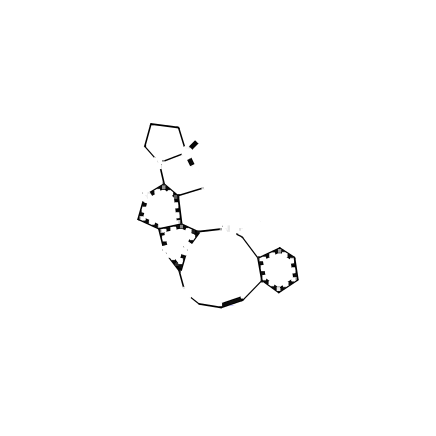 C[C@H]1Nc2nc(nc3cnc(N4CCCS4(=O)=O)c(C(F)(F)F)c23)OC/C=C\c2ccccc21